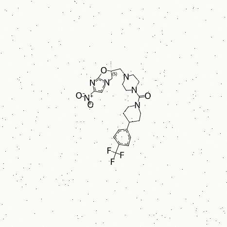 C[C@]1(CN2CCN(C(=O)N3CCC(c4ccc(C(F)(F)F)cc4)CC3)CC2)Cn2cc([N+](=O)[O-])nc2O1